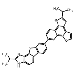 CC(C)c1nc2c(ccc3c4ccc(-c5ccc6c(c5)c5sccc5c5nc(C(C)C)[nH]c65)cc4sc32)[nH]1